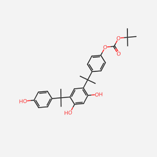 CC(C)(C)OC(=O)Oc1ccc(C(C)(C)c2cc(C(C)(C)c3ccc(O)cc3)c(O)cc2O)cc1